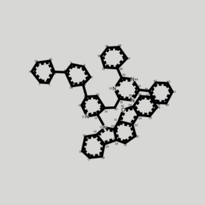 c1ccc(-c2cccc(-c3cnc(-n4c5ccccc5c5ccc6c7ccccc7oc6c54)c(Cc4nc(-c5ccccc5)nc(-c5ccccc5)n4)c3)c2)cc1